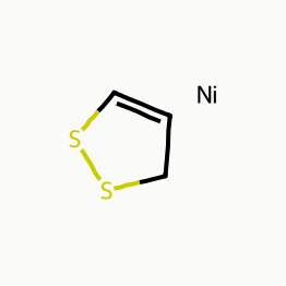 C1=CSSC1.[Ni]